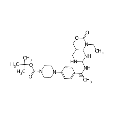 CCN1C(=O)OCC2CNC(N[C@@H](C)c3ccc(N4CCN(C(=O)OC(C)(C)C)CC4)cc3)NC21